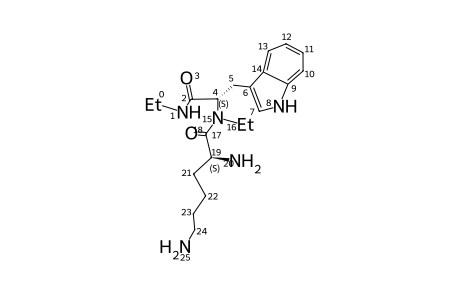 CCNC(=O)[C@H](Cc1c[nH]c2ccccc12)N(CC)C(=O)[C@@H](N)CCCCN